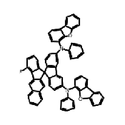 Fc1cccc2c1-c1cc3ccccc3cc1C21c2ccc(N(c3ccccc3)c3cccc4c3oc3ccccc34)cc2-c2cc(N(c3ccccc3)c3cccc4c3oc3ccccc34)ccc21